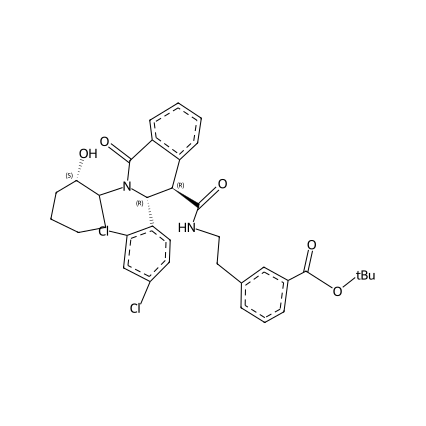 CC(C)(C)OC(=O)c1cccc(CCNC(=O)[C@@H]2c3ccccc3C(=O)N(C3CCCC[C@@H]3O)[C@H]2c2ccc(Cl)cc2Cl)c1